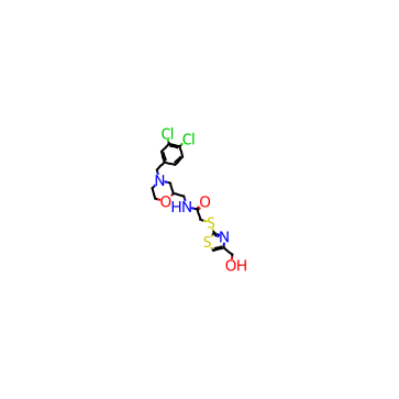 O=C(CSc1nc(CO)cs1)NCC1CN(Cc2ccc(Cl)c(Cl)c2)CCO1